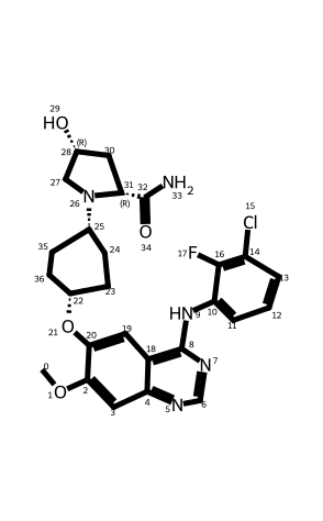 COc1cc2ncnc(Nc3cccc(Cl)c3F)c2cc1O[C@H]1CC[C@@H](N2C[C@H](O)C[C@@H]2C(N)=O)CC1